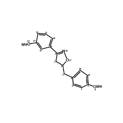 COc1ccc(CC2CC(c3cccc(OC)c3)=NO2)cc1